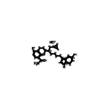 Cl.NC(=O)c1ccc(F)c2c1OC(N(CCCCc1c[nH]c3ccc(F)cc13)CC1CC1)CC2